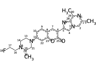 Cc1cn2cc(-c3cc4ccc(N5CCN(CCF)[C@@H](C)C5)cc4oc3=O)nc2c(C)n1